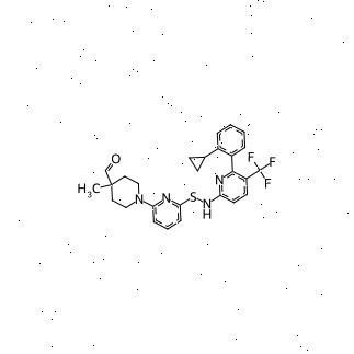 CC1(C=O)CCN(c2cccc(SNc3ccc(C(F)(F)F)c(-c4ccccc4C4CC4)n3)n2)CC1